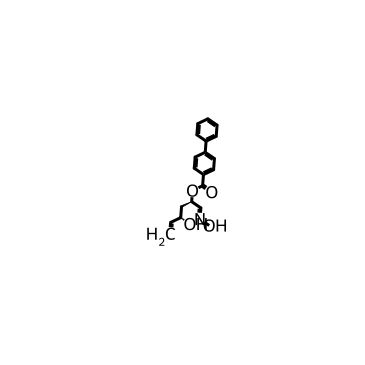 C=C[C@@H](O)C[C@H](/C=N/O)OC(=O)c1ccc(-c2ccccc2)cc1